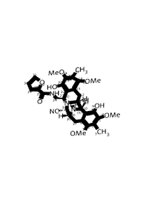 COc1c(C)c(OC)c2c(c1O)[C@H]1[C@@H]3Cc4c(OC)c(C)c(OC)c(O)c4[C@H](CNC(=O)c4ccco4)N3[C@@H](C#N)[C@@H](C2)N1C